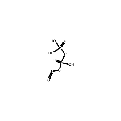 O=POP(=O)(O)OP(=O)(O)O